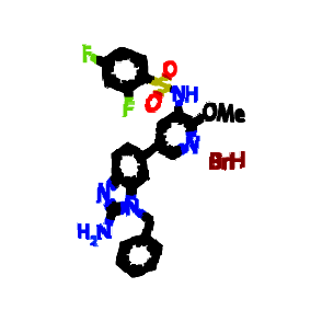 Br.COc1ncc(-c2ccc3nc(N)n(Cc4ccccc4)c3c2)cc1NS(=O)(=O)c1ccc(F)cc1F